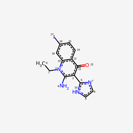 CCn1c(N)c(-c2ncc[nH]2)c(=O)c2ccc(I)cc21